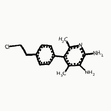 Cc1nc(N)c(N)c(C)c1-c1ccc(CCCl)cc1